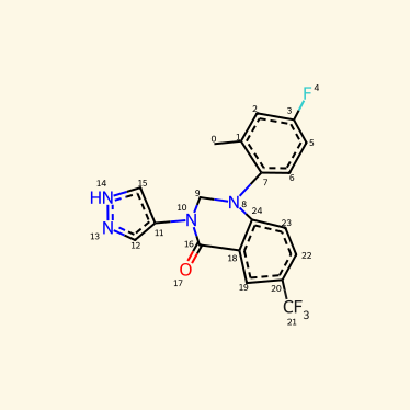 Cc1cc(F)ccc1N1CN(c2cn[nH]c2)C(=O)c2cc(C(F)(F)F)ccc21